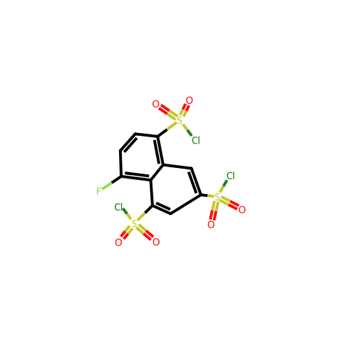 O=S(=O)(Cl)c1cc(S(=O)(=O)Cl)c2c(F)ccc(S(=O)(=O)Cl)c2c1